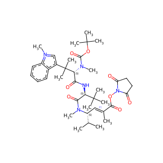 C/C(=C\[C@H](C(C)C)N(C)C(=O)[C@@H](NC(=O)[C@@H](N(C)C(=O)OC(C)(C)C)C(C)(C)c1cn(C)c2ccccc12)C(C)(C)C)C(=O)ON1C(=O)CCC1=O